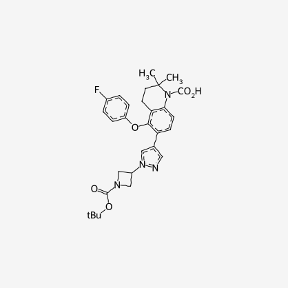 CC(C)(C)OC(=O)N1CC(n2cc(-c3ccc4c(c3Oc3ccc(F)cc3)CCC(C)(C)N4C(=O)O)cn2)C1